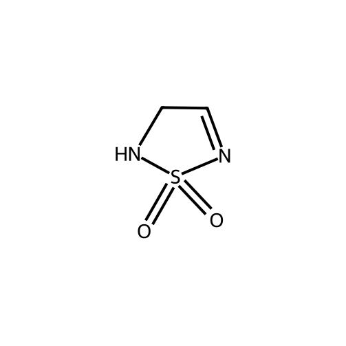 O=S1(=O)N=CCN1